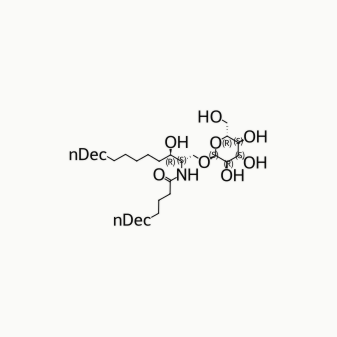 CCCCCCCCCCCCCCC[C@@H](O)[C@H](CO[C@H]1O[C@H](CO)[C@@H](O)[C@H](O)[C@H]1O)NC(=O)CCCCCCCCCCCCC